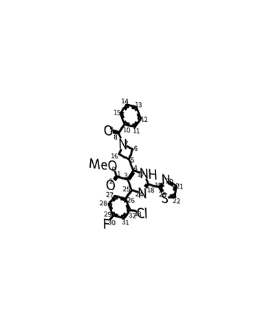 COC(=O)C1=C(C2CN(C(=O)c3ccccc3)C2)NC(c2nccs2)=NC1c1ccc(F)cc1Cl